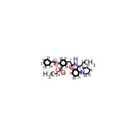 CCCC(NC(=O)Cc1ccc(OCc2ccccc2)c(C(=O)OCC)c1)c1ccccc1N1CCCCC1